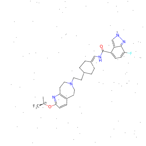 C[C@@H](Oc1ccc2c(n1)CCN(CCC1CCC(=CNC(=O)c3ccc(F)c4nn(C)cc34)CC1)CC2)C(F)(F)F